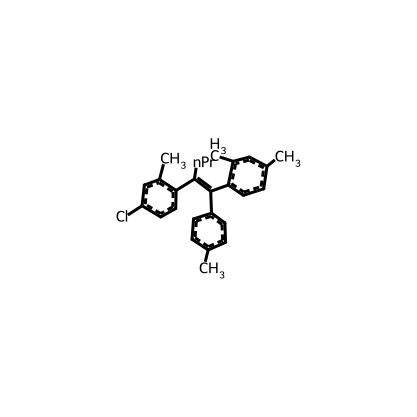 CCC/C(=C(/c1ccc(C)cc1)c1ccc(C)cc1C)c1ccc(Cl)cc1C